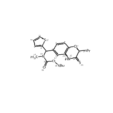 CCCC1Oc2ccc(C(c3cccs3)N(C)C(=O)OC(C)(C)C)cc2NC1=S